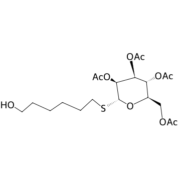 CC(=O)OC[C@H]1O[C@H](SCCCCCCO)[C@@H](OC(C)=O)[C@@H](OC(C)=O)[C@@H]1OC(C)=O